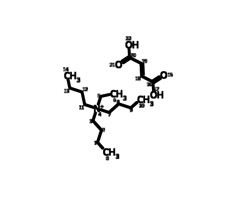 CCCC[N+](CC)(CCCC)CCCC.O=C(O)/C=C/C(=O)O